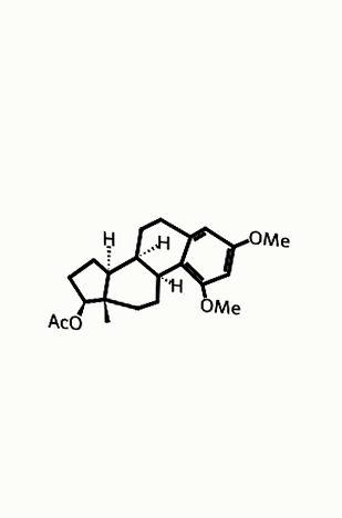 COc1cc2c(c(OC)c1)[C@H]1CC[C@]3(C)[C@@H](OC(C)=O)CC[C@H]3[C@H]1CC2